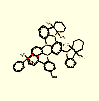 CC(C)(C)c1ccc(N2c3cc(C(C)(C)c4ccccc4)ccc3B3c4cccc5c4N(c4cc(N6c7ccccc7C7(C)CCCCC67C)cc2c43)C2(C)CCCCC52C)c(-c2ccccc2)c1